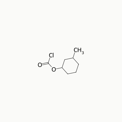 CC1CCCC(OC(=O)Cl)C1